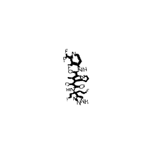 Cc1c(C(=O)C(=O)NC(CCF)(CCF)c2c[nH]nn2)c2n(c1C(=O)Nc1ccnc(C(F)F)c1F)CCC2